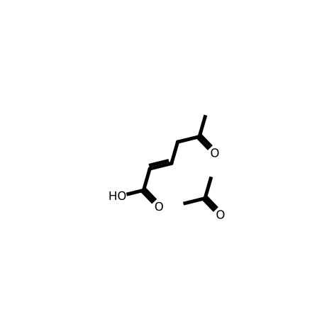 CC(=O)CC=CC(=O)O.CC(C)=O